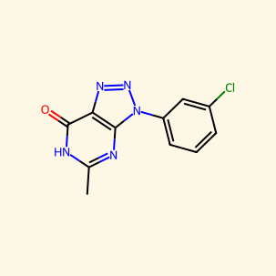 Cc1nc2c(nnn2-c2cccc(Cl)c2)c(=O)[nH]1